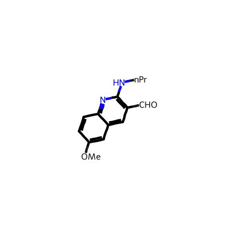 CCCNc1nc2ccc(OC)cc2cc1C=O